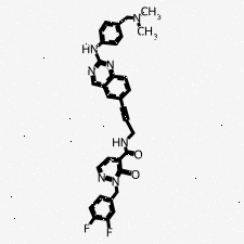 CN(C)Cc1ccc(Nc2ncc3cc(C#CCNC(=O)c4ccnn(Cc5ccc(F)c(F)c5)c4=O)ccc3n2)cc1